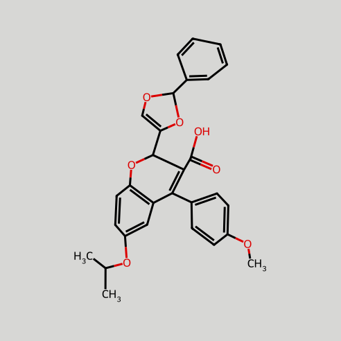 COc1ccc(C2=C(C(=O)O)C(C3=COC(c4ccccc4)O3)Oc3ccc(OC(C)C)cc32)cc1